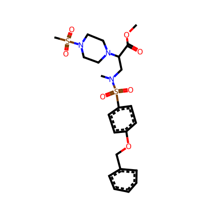 COC(=O)C(CN(C)S(=O)(=O)c1ccc(OCc2ccccc2)cc1)N1CCN(S(C)(=O)=O)CC1